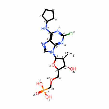 C[C@@H]1C(n2cnc3c(NC4CCCC4)nc(Cl)nc32)O[C@H](COCP(=O)(O)O)[C@H]1O